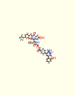 Cc1ncsc1-c1ccc(CNC(=O)[C@@H]2C[C@@H](O)CN2C(O)[C@@H](NC(=O)COCC(=O)N2CCN(c3cc(-c4ccccc4O)nnc3N)CC2)C(C)(C)C)cc1